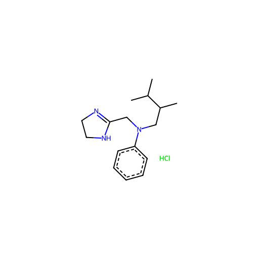 CC(C)C(C)CN(CC1=NCCN1)c1ccccc1.Cl